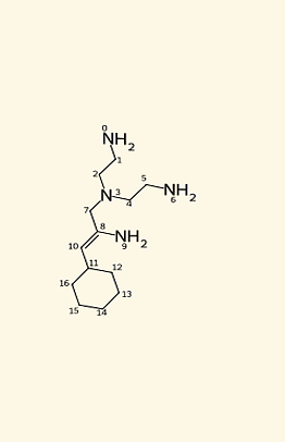 NCCN(CCN)CC(N)=CC1CCCCC1